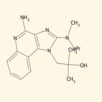 CCCN(C)c1nc2c(N)nc3ccccc3c2n1CC(C)(C)O